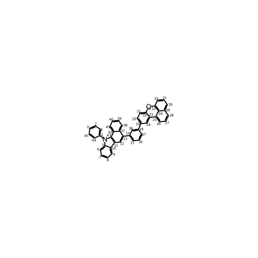 c1ccc(-n2c3ccccc3c3cc(-c4cccc(-c5ccc6c(c5)-c5cccc7cccc(c57)O6)c4)c4ccccc4c32)cc1